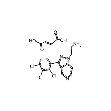 NCCn1nc(-c2ccc(Cl)c(Cl)c2Cl)c2cnccc21.O=C(O)/C=C/C(=O)O